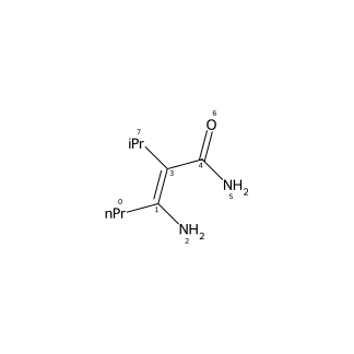 CCC/C(N)=C(/C(N)=O)C(C)C